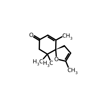 CC1=CC[C@]2(O1)C(C)=CC(=O)CC2(C)C